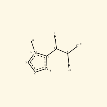 Cn1ccnc1C(F)C(F)F